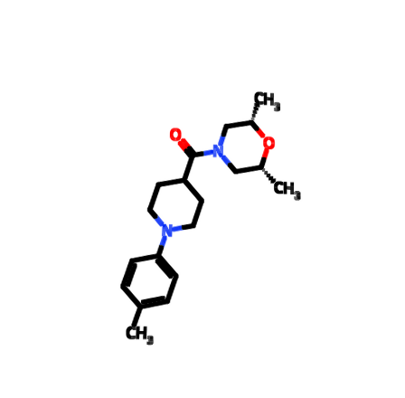 Cc1ccc(N2CCC(C(=O)N3C[C@@H](C)O[C@@H](C)C3)CC2)cc1